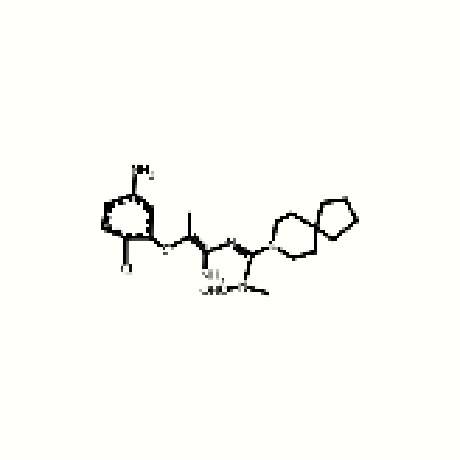 C/C(Sc1cc(N)ccc1Cl)=C(N)\N=C(/N(C)C=O)N1CCC2(CCCC2)CC1